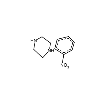 C1CNCCN1.O=[N+]([O-])c1ccccc1